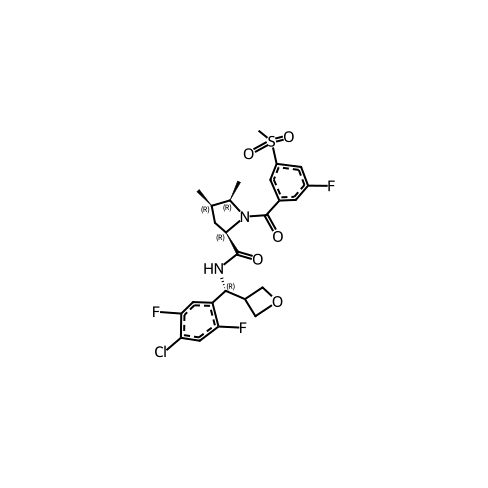 C[C@@H]1C[C@H](C(=O)N[C@@H](c2cc(F)c(Cl)cc2F)C2COC2)N(C(=O)c2cc(F)cc(S(C)(=O)=O)c2)[C@@H]1C